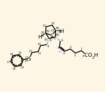 O=C(O)CCC/C=C\C[C@@H]1[C@H](CCCCSc2ccccc2)[C@@H]2CC[C@H]1S2